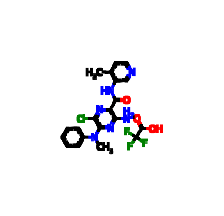 Cc1ccncc1NC(=O)c1nc(Cl)c(N(C)c2ccccc2)nc1N.O=C(O)C(F)(F)F